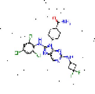 NC(=O)[C@H]1CC[C@H](n2c(Nc3c(Cl)cc(Cl)cc3Cl)nc3cnc(NC4CC(F)(F)C4)nc32)CC1